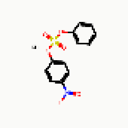 O=[N+]([O-])c1ccc(OS(=O)(=O)Oc2ccccc2)cc1.[KH]